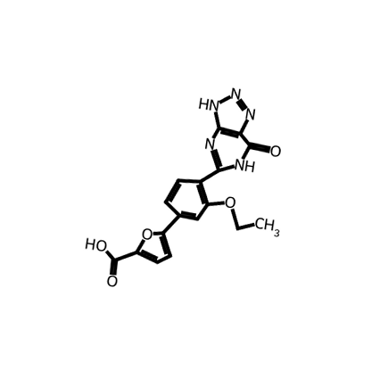 CCOc1cc(-c2ccc(C(=O)O)o2)ccc1-c1nc2[nH]nnc2c(=O)[nH]1